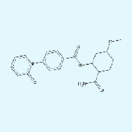 COC1CCC(C(N)=O)C(NC(=O)c2ccc(-n3ccccc3=O)cc2)C1